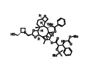 CC(=O)O[C@@]12CO[C@@H]1CC[C@@]1(C)[C@@H]3O[C@H](CN4CC[C@H]4CO)O[C@@H]3C3=C(C)[C@@H](OC(=O)[C@H](O[Si](C)(C)C(C)(C)C)[C@@H](NC(=O)OC(C)(C)C)c4ccccc4)C[C@@](O)([C@@H](OC(=O)c4ccccc4)[C@@H]12)C3(C)C